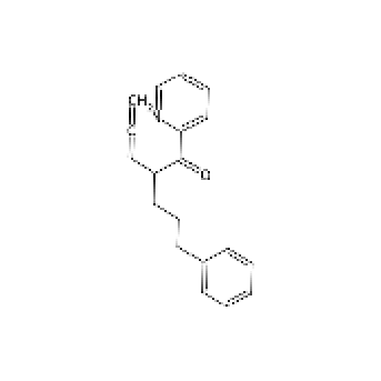 C=C=CC(CCCc1ccccc1)C(=O)c1ccccn1